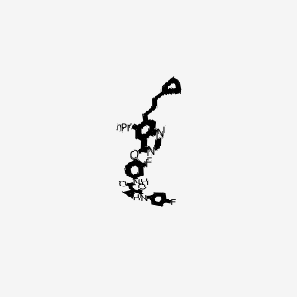 CCCc1cc2c(Oc3ccc(NC(=O)C4(C(=O)Nc5ccc(F)cc5)CC4)cc3F)ncnc2cc1CCCc1ccccc1